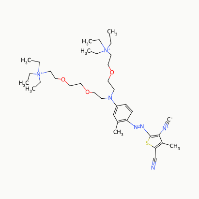 [C-]#[N+]c1c(/N=N/c2ccc(N(CCOCCOCC[N+](CC)(CC)CC)CCOCC[N+](CC)(CC)CC)cc2C)sc(C#N)c1C